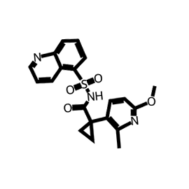 COc1ccc(C2(C(=O)NS(=O)(=O)c3cccc4ncccc34)CC2)c(C)n1